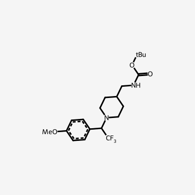 COc1ccc(C(N2CCC(CNC(=O)OC(C)(C)C)CC2)C(F)(F)F)cc1